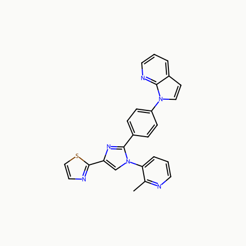 Cc1ncccc1-n1cc(-c2nccs2)nc1-c1ccc(-n2ccc3cccnc32)cc1